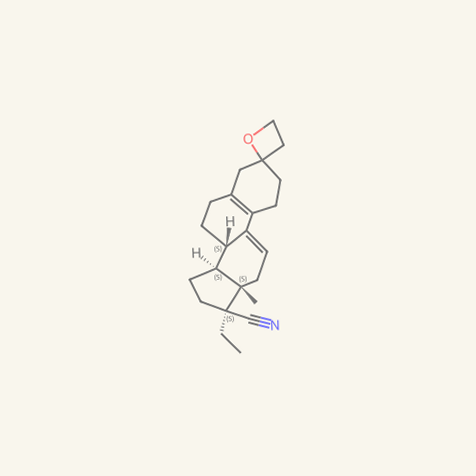 CC[C@]1(C#N)CC[C@H]2[C@@H]3CCC4=C(CCC5(CCO5)C4)C3=CC[C@@]21C